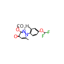 Cc1cc(OC(F)F)ccc1-n1nc(OC(=O)O)c(=O)cc1C